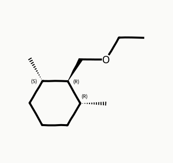 CCOC[C@H]1[C@H](C)CCC[C@@H]1C